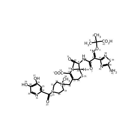 CC(C)(ON=C(C(=O)N[C@@H]1C(=O)N2C(C(=O)[O-])=C(C[N+]3(C)CCN(C(=O)c4cc(O)c(O)cn4)CC3)CS[C@@H]12)c1nsc(N)n1)C(=O)O